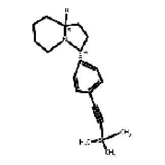 C[Si](C)(C)C#Cc1ccc([C@H]2CC[C@H]3CCCCN32)cc1